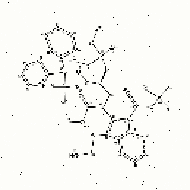 CCC(O)(CO)C[C@H](CO[Si](c1ccccc1)(c1ccccc1)C(C)(C)C)CC(C(=O)OC)c1c(CCO)c2ccccc2n1C(=O)OC(C)(C)C